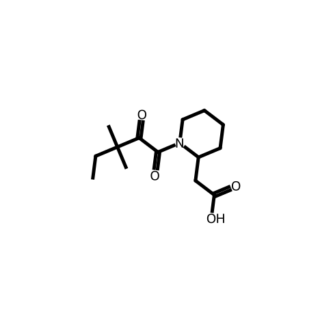 CCC(C)(C)C(=O)C(=O)N1CCCCC1CC(=O)O